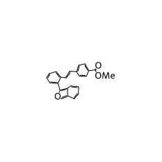 COC(=O)c1ccc(C=Cc2ccccc2-c2occ3ccccc23)cc1